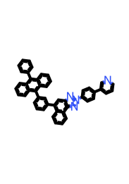 c1ccc(-c2c3ccccc3c(-c3cccc(-c4cc5nn(-c6ccc(-c7cccnc7)cc6)nc5c5ccccc45)c3)c3ccccc23)cc1